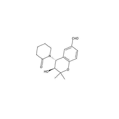 CC1(C)Oc2ccc(C=O)cc2[C@@H](N2CCCCC2=O)[C@@H]1O